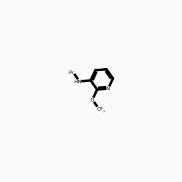 CC(C)Nc1cccnc1OC(F)(F)F